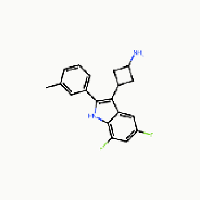 Cc1cccc(-c2[nH]c3c(F)cc(F)cc3c2C2CC(N)C2)c1